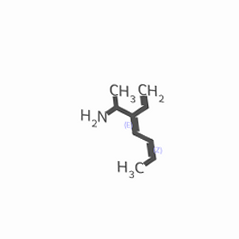 C=C/C(=C\C=C/C)C(C)N